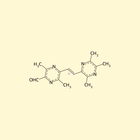 Cc1nc(C)c(/C=C/c2nc(C)c(C=O)nc2C)nc1C